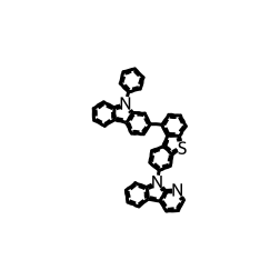 c1ccc(-n2c3ccccc3c3ccc(-c4cccc5sc6cc(-n7c8ccccc8c8cccnc87)ccc6c45)cc32)cc1